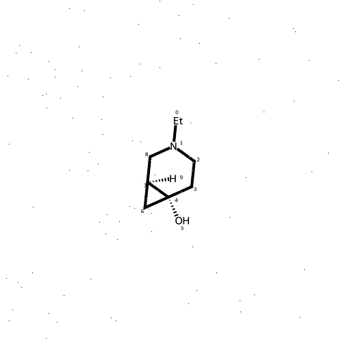 CCN1CC[C@@]2(O)C[C@H]2C1